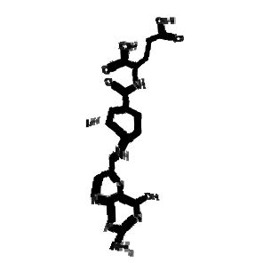 Nc1nc(O)c2nc(CNc3ccc(C(=O)NC(CCC(=O)O)C(=O)O)cc3)cnc2n1.[LiH]